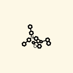 c1ccc(-c2ccc(N(c3ccc(-c4ccccc4)cc3)c3ccc4c(c3)C3(c5ccccc5Oc5ccccc53)c3ccc(-c5cccc6ccccc56)cc3-4)cc2)cc1